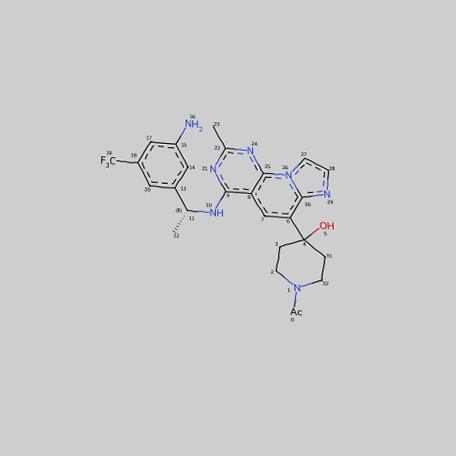 CC(=O)N1CCC(O)(c2cc3c(N[C@H](C)c4cc(N)cc(C(F)(F)F)c4)nc(C)nc3n3ccnc23)CC1